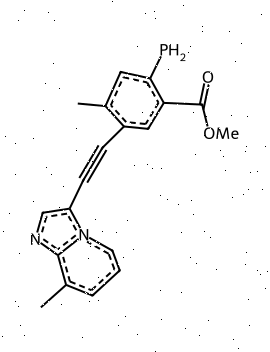 COC(=O)c1cc(C#Cc2cnc3c(C)cccn23)c(C)cc1P